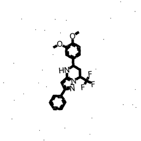 COc1ccc(C2CC(C(F)(F)F)n3nc(-c4ccccc4)cc3N2)cc1OC